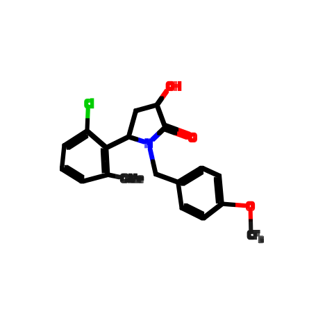 COc1cccc(Cl)c1C1CC(O)C(=O)N1Cc1ccc(OC(F)(F)F)cc1